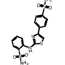 CS(=O)(=O)c1ccc(-c2csc(Nc3ccccc3S(N)(=O)=O)n2)cc1